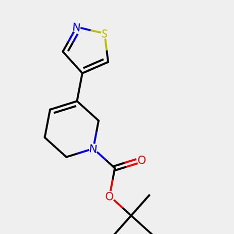 CC(C)(C)OC(=O)N1CCC=C(c2cnsc2)C1